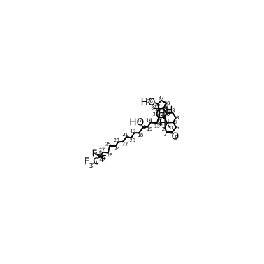 C[C@]12CCC(=O)CC1CC[C@@H]1[C@H]2C(CCCC(O)CCCCCCCCCCC(F)(F)C(F)(F)F)C[C@]2(C)C(O)CC[C@@H]12